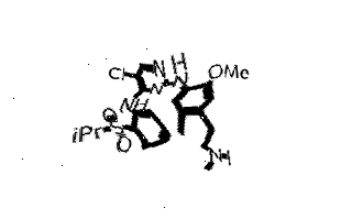 COc1cc(CCN(C)I)c(C)cc1Nc1ncc(Cl)c(Nc2ccccc2S(=O)(=O)C(C)C)n1